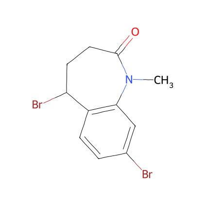 CN1C(=O)CCC(Br)c2ccc(Br)cc21